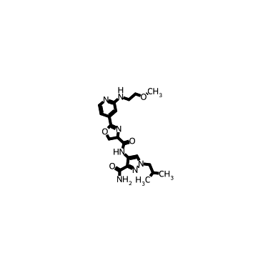 COCCNc1cc(C2=NC(C(=O)Nc3cn(CC(C)C)nc3C(N)=O)CO2)ccn1